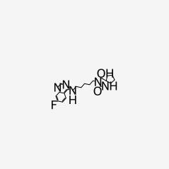 O=C1NC2(CCCC2)C(O)N1CCCCCNc1ncnc2cc(F)ccc12